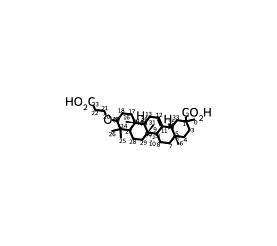 CC1(C(=O)O)CC[C@]2(C)CC[C@]3(C)C(=CC[C@@H]4[C@@]5(C)CC[C@H](OCCC(=O)O)C(C)(C)C5CC[C@]43C)[C@@H]2C1